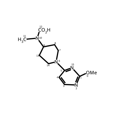 COc1nccc(N2CCC(N(C)C(=O)O)CC2)n1